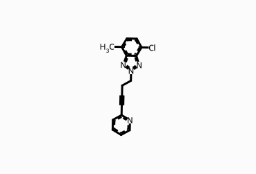 Cc1ccc(Cl)c2nn(CCC#Cc3ccccn3)nc12